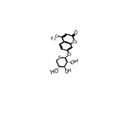 O=c1cc(C(F)(F)F)c2ccc(O[C@@H]3SC[C@@H](O)[C@H](O)[C@H]3O)cc2o1